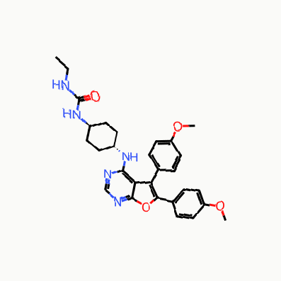 CCNC(=O)N[C@H]1CC[C@H](Nc2ncnc3oc(-c4ccc(OC)cc4)c(-c4ccc(OC)cc4)c23)CC1